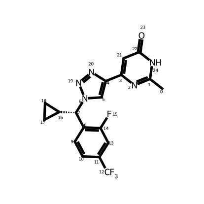 Cc1nc(-c2cn([C@H](c3ccc(C(F)(F)F)cc3F)C3CC3)nn2)cc(=O)[nH]1